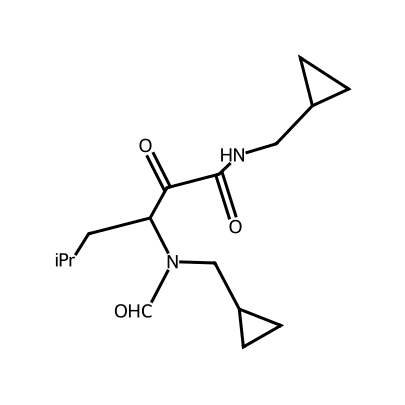 CC(C)CC(C(=O)C(=O)NCC1CC1)N(C=O)CC1CC1